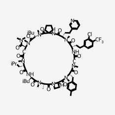 CC[C@H](C)[C@@H]1NC(=O)[C@H](CC(C)C)N(C)C(=O)C[C@@H](C(=O)N(C)C)N(C)C(=O)[C@H]([C@@H](C)CC)N(C)C(=O)C2(CCCC2)NC(=O)[C@H](CCc2cccnc2)N(C)C(=O)[C@H](CCc2ccc(C(F)(F)F)c(Cl)c2)NC(=O)CN(C)C(=O)[C@H](Cc2ccc(C)cc2)N(C)C(=O)[C@@H]2CCN2C(=O)[C@H](C)N(C)C1=O